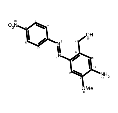 COc1cc(N=Nc2ccc([N+](=O)[O-])cc2)c(CO)cc1N